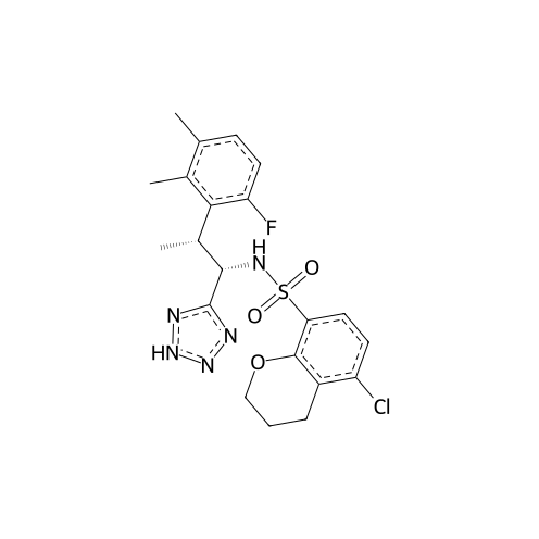 Cc1ccc(F)c([C@@H](C)[C@H](NS(=O)(=O)c2ccc(Cl)c3c2OCCC3)c2nn[nH]n2)c1C